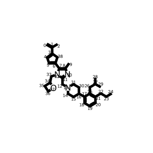 C=C(C)C1=CC=C(c2c(C)nc(CN3CCC(c4cccc(CCC)c4CC(C)C)CC3)n2CC2CCO2)C1